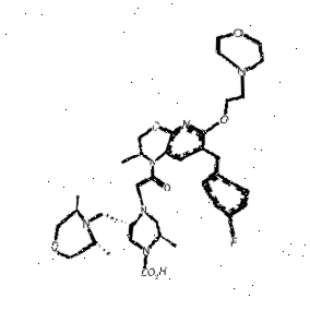 CC1COc2nc(OCCN3CCOCC3)c(Cc3ccc(F)cc3)cc2N1C(=O)CN1C[C@@H](C)N(C(=O)O)C[C@@H]1CN1[C@H](C)COC[C@H]1C